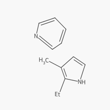 CCc1[nH]ccc1C.c1ccncc1